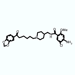 COc1cc(N)c(Cl)cc1C(=O)NCC1CCN(CCCCCC(=O)c2ccc3c(c2)OCO3)CC1